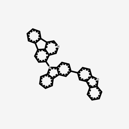 c1ccc2c(c1)-c1ccc(-n3c4ccccc4c4cc(-c5ccc6oc7ccccc7c6c5)ccc43)c3cncc-2c13